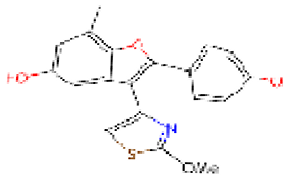 COc1nc(-c2c(-c3ccc(O)cc3)oc3c(C)cc(O)cc23)cs1